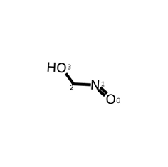 O=NCO